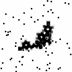 O=S(=O)(CC=Cc1cccc(Br)c1)n1cc(C(F)F)c2c(NC3CCNCC3)cccc21